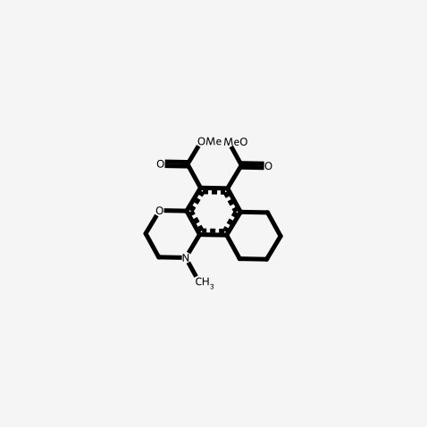 COC(=O)c1c2c(c3c(c1C(=O)OC)OCCN3C)CCCC2